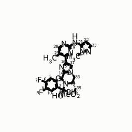 BC(O)(c1ccc(F)c(F)c1)N1C(=O)c2nc(-c3nc(Nc4ccnn4C)ncc3C)cn2C[C@@H]1COC